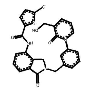 O=C(Nc1cccc2c1CN(Cc1cccc(-n3cccc(CO)c3=O)c1)C2=O)c1ccc(Cl)s1